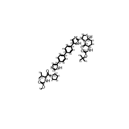 COC(=O)N[C@H](C(=O)N1CCC[C@H]1c1ncc(-c2ccc(-c3ccc(-c4cnc([C@@H]5CS[C@H]6CC[C@H](NC(=O)OC(C)(C)C)C(=O)N65)[nH]4)cc3)cc2)[nH]1)C(C)C